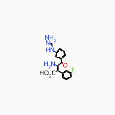 NN=CNc1cccc(C(=O)C(N)=C(C(=O)O)c2cccc(F)c2)c1